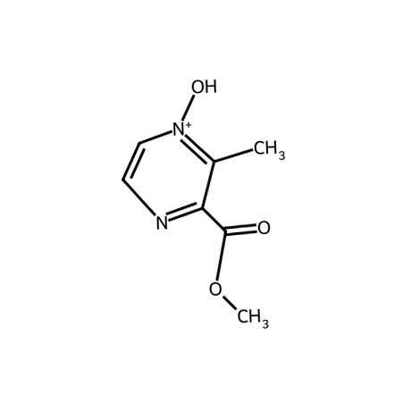 COC(=O)c1ncc[n+](O)c1C